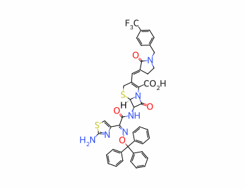 Nc1nc(C(=NOC(c2ccccc2)(c2ccccc2)c2ccccc2)C(=O)N[C@@H]2C(=O)N3C(C(=O)O)=C(C=C4CCN(Cc5ccc(C(F)(F)F)cc5)C4=O)CS[C@H]23)cs1